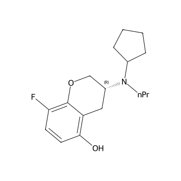 CCCN(C1CCCC1)[C@H]1COc2c(F)ccc(O)c2C1